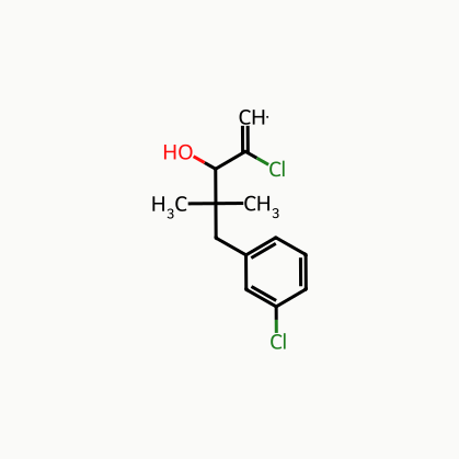 [CH]=C(Cl)C(O)C(C)(C)Cc1cccc(Cl)c1